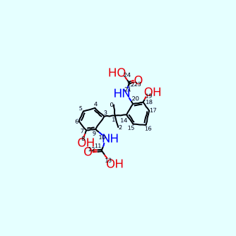 CC(C)(c1cccc(O)c1NC(=O)O)c1cccc(O)c1NC(=O)O